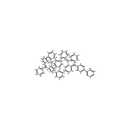 c1ccc(-c2ccc(N(c3ccc(-c4ccccc4)cc3)c3cccc4c3oc3c(-c5cccc6c5-c5ccccc5C65c6ccccc6N(c6ccccc6)c6ccccc65)cccc34)cc2)cc1